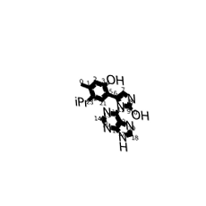 Cc1cc(O)c(-c2cnc(O)n2-c2ncnc3[nH]cnc23)cc1C(C)C